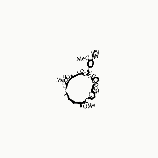 CO[C@H]1CC2CC[C@@H](C)[C@@](O)(O2)C(=O)C(=O)N2CCCCC2C(=O)O[C@H]([C@H](C)C[C@@H]2CC[C@H](n3ncnn3)[C@H](OC)C2)CC(=O)[C@H](C)/C=C(\C)[C@@H](O)[C@@H](OC)C(=O)[C@H](C)C[C@H](C)/C=C/C=C/C=C/1C